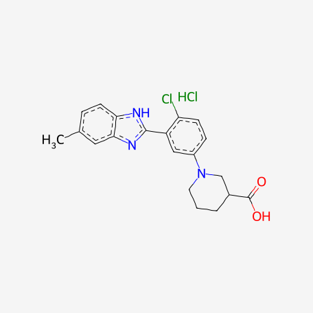 Cc1ccc2[nH]c(-c3cc(N4CCCC(C(=O)O)C4)ccc3Cl)nc2c1.Cl